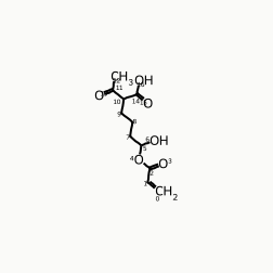 C=CC(=O)OC(O)CCCC(C(C)=O)C(=O)O